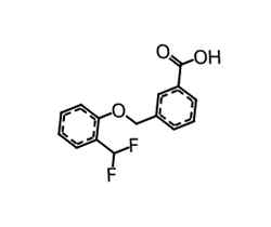 O=C(O)c1cccc(COc2ccccc2C(F)F)c1